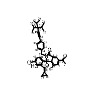 CC(=O)c1cc(F)c2c(c1)C(=O)N(Cc1ccc(C#CC(C(C)C)(C(C)C)C(C)C)cc1)C2(OC(CO)C1CC1)c1ccc(Cl)cc1